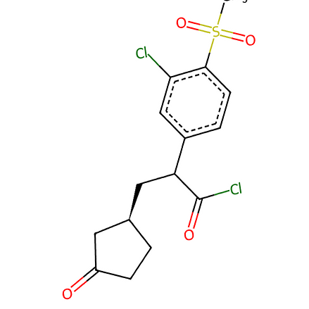 CS(=O)(=O)c1ccc(C(C[C@H]2CCC(=O)C2)C(=O)Cl)cc1Cl